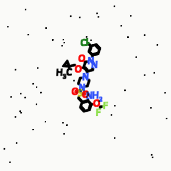 CC1(COc2c(N3CCN(S(=O)(=O)Cc4cccc(OC(F)F)c4N)CC3)cnn(-c3cccc(Cl)c3)c2=O)CC1